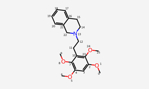 COc1cc(OC)c(OC)c(CCN2CCc3ccccc3C2)c1OC